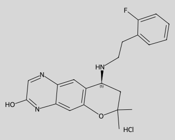 CC1(C)C[C@H](NCCc2ccccc2F)c2cc3ncc(O)nc3cc2O1.Cl